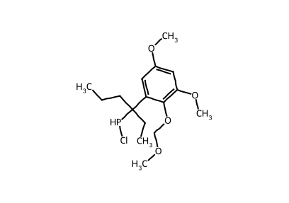 CCCC(CC)(PCl)c1cc(OC)cc(OC)c1OCOC